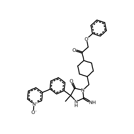 CC1(c2cccc(-c3ccc[n+]([O-])c3)c2)NC(=N)N(CC2CCC(C(=O)COc3ccccc3)CC2)C1=O